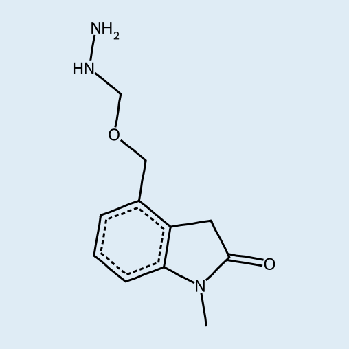 CN1C(=O)Cc2c(COCNN)cccc21